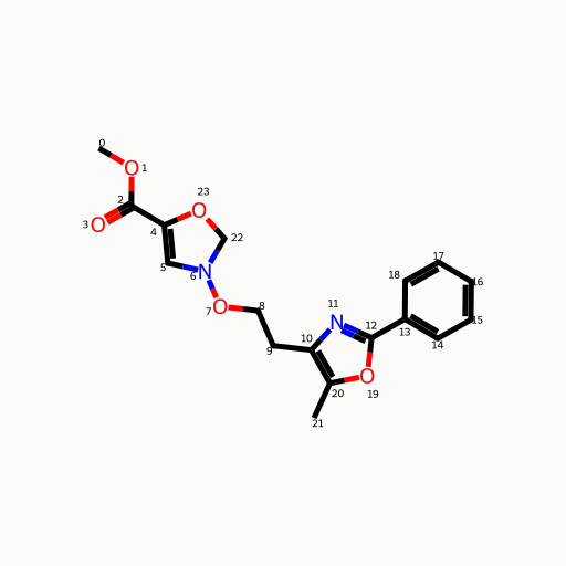 COC(=O)C1=CN(OCCc2nc(-c3ccccc3)oc2C)CO1